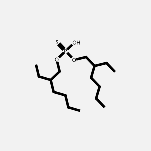 CCCCC(CC)COP(O)(=S)OCC(CC)CCCC